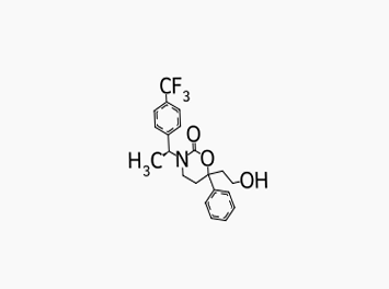 C[C@@H](c1ccc(C(F)(F)F)cc1)N1CCC(CCO)(c2ccccc2)OC1=O